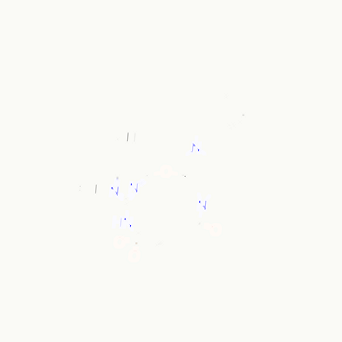 Cc1cccc(C)c1-c1cc2nc(n1)NS(=O)(=O)c1cccc(c1)C(=O)N1CC3CN(Cc4ccccc4)CC3(C1)O2